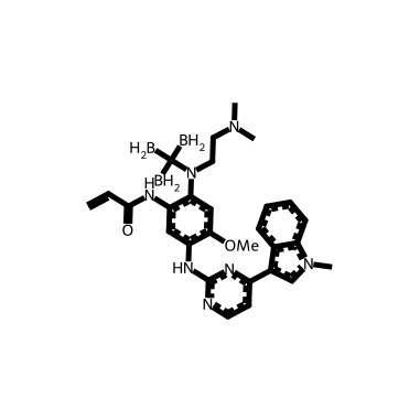 BC(B)(B)N(CCN(C)C)c1cc(OC)c(Nc2nccc(-c3cn(C)c4ccccc34)n2)cc1NC(=O)C=C